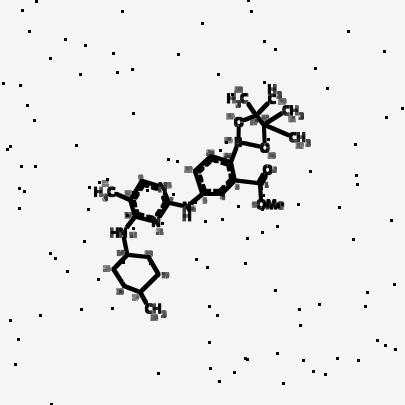 COC(=O)c1cc(Nc2ncc(C)c(NC3CCC(C)CC3)n2)ccc1B1OC(C)(C)C(C)(C)O1